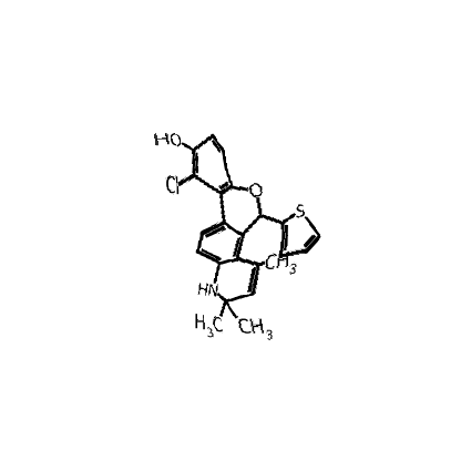 CC1=CC(C)(C)Nc2ccc3c(c21)C(c1cccs1)Oc1ccc(O)c(Cl)c1-3